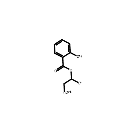 CCCCCCCCCC(CC)OC(=O)c1ccccc1O